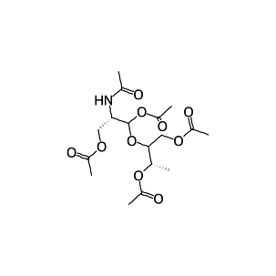 CC(=O)N[C@@H](COC(C)=O)C(OC(C)=O)OC(COC(C)=O)[C@H](C)OC(C)=O